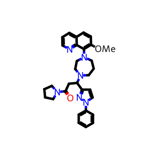 COc1ccc2cccnc2c1N1CCCN(C(CC(=O)N2CCCC2)c2ccn(-c3ccccc3)n2)CC1